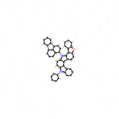 c1ccc(-n2c3ccccc3c3c4c5ccc6oc7ccccc7c6c5n(-c5ccc6c7c(cccc57)-c5ccccc5-6)c4ccc32)cc1